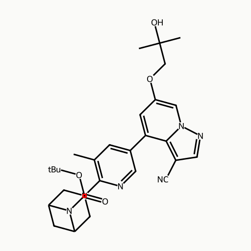 Cc1cc(-c2cc(OCC(C)(C)O)cn3ncc(C#N)c23)cnc1N1CC2CC(C1)N2C(=O)OC(C)(C)C